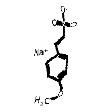 COc1ccc(C=CS(=O)(=O)[O-])cc1.[Na+]